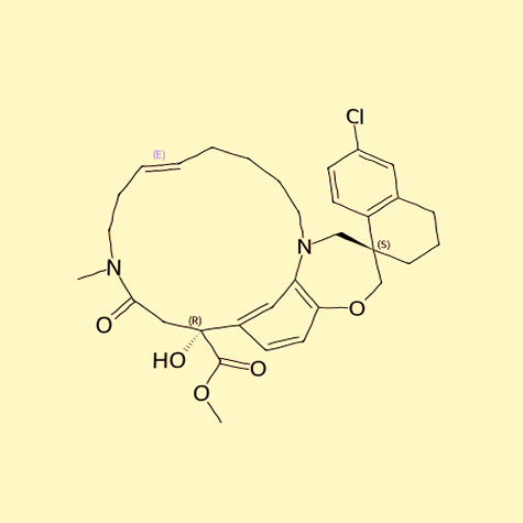 COC(=O)[C@@]1(O)CC(=O)N(C)CC/C=C/CCCCN2C[C@@]3(CCCc4cc(Cl)ccc43)COc3ccc1cc32